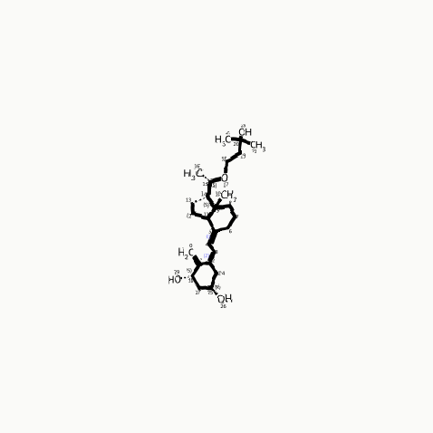 C=C1/C(=C\C=C2/CCCC3(C)C2CC[C@@H]3[C@H](C)OCCC(C)(C)O)C[C@@H](O)C[C@@H]1O